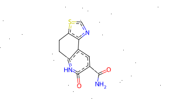 NC(=O)c1cc2c([nH]c1=O)CCc1scnc1-2